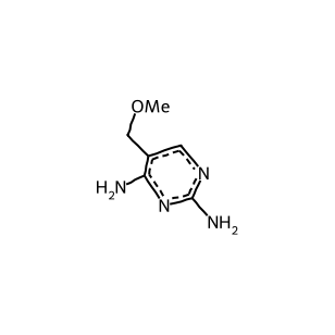 COCc1cnc(N)nc1N